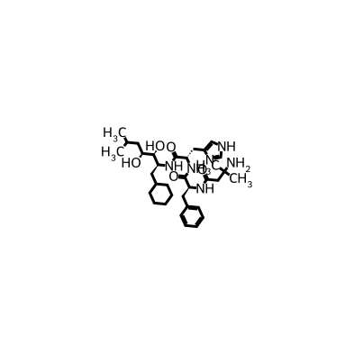 CC(C)C[C@H](O)[C@H](O)[C@H](CC1CCCCC1)NC(=O)[C@H](Cc1c[nH]cn1)NC(=O)[C@H](Cc1ccccc1)NC(=O)CC(C)(C)N